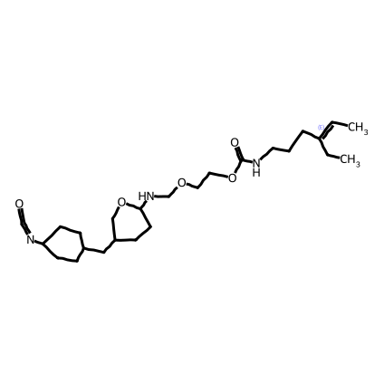 C/C=C(\CC)CCCNC(=O)OCCOCNC1CCC(CC2CCC(N=C=O)CC2)CO1